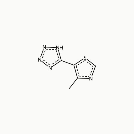 Cc1ncsc1-c1nnn[nH]1